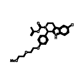 C=C(C)OC(=O)N1CCc2c([nH]c3ccc(Cl)cc23)C1c1ccc(OCCOCCOC)cc1